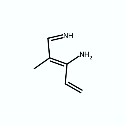 C=C/C(N)=C(\C)C=N